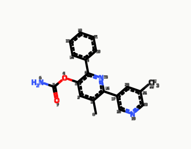 Cc1cc(OC(N)=O)c(-c2ccccc2)nc1-c1cncc(C(F)(F)F)c1